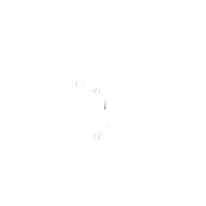 Cl.NC(=O)c1ccccc1C[C@@H]1Cc2ccccc2CN1